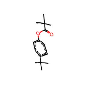 CC(C)(C)C(=O)Oc1ccc(C(C)(C)C)cc1